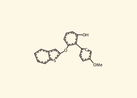 COc1ccc(-c2c(O)cccc2Oc2cc3ccccc3s2)cc1